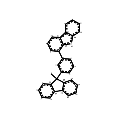 CC1(c2cccc(-c3cccc4c3sc3ccccc34)c2)c2ccccc2-c2ccccc21